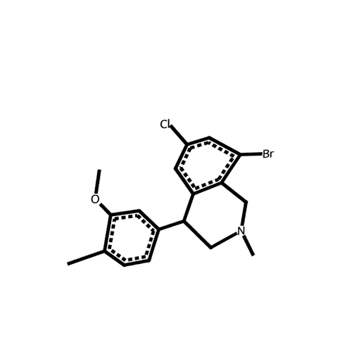 COc1cc(C2CN(C)Cc3c(Br)cc(Cl)cc32)ccc1C